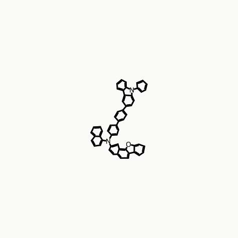 c1ccc(-n2c3ccccc3c3cc(-c4ccc(-c5ccc(N(c6ccc7ccc8c9ccccc9oc8c7c6)c6cccc7ccccc67)cc5)cc4)ccc32)cc1